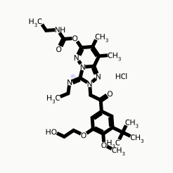 CC/N=c1\n(CC(=O)c2cc(OCCO)c(OC)c(C(C)(C)C)c2)nc2c(C)c(C)c(OC(=O)NCC)nn12.Cl